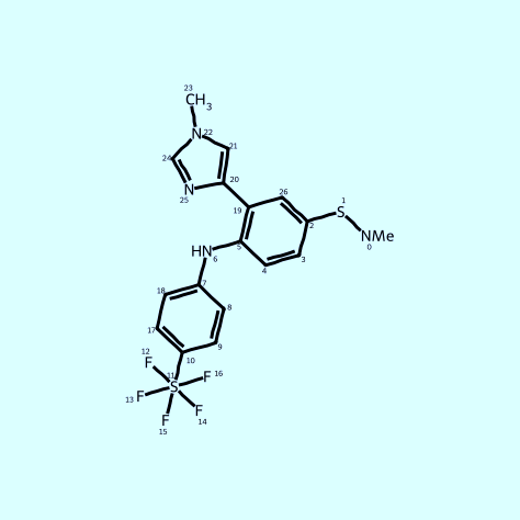 CNSc1ccc(Nc2ccc(S(F)(F)(F)(F)F)cc2)c(-c2cn(C)cn2)c1